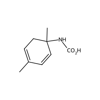 CC1=CCC(C)(NC(=O)O)C=C1